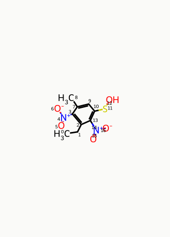 CCc1c([N+](=O)[O-])c(C)cc(SO)c1[N+](=O)[O-]